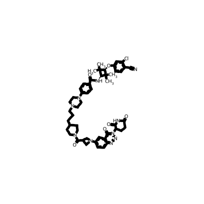 CC1(C)[C@H](NC(=O)c2ccc(N3CCN(CCCC4CCN(C(=O)C5CN(c6ccc7nnn(C8CCC(=O)NC8=O)c(=O)c7c6)C5)CC4)CC3)cc2)C(C)(C)[C@H]1Oc1ccc(C#N)c(Cl)c1